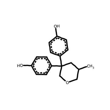 CC1COCC(c2ccc(O)cc2)(c2ccc(O)cc2)C1